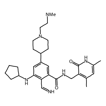 CNCCN1CCC(c2cc(NC3CCCC3)c(C=N)c(C(=O)NCc3c(C)cc(C)[nH]c3=O)c2)CC1